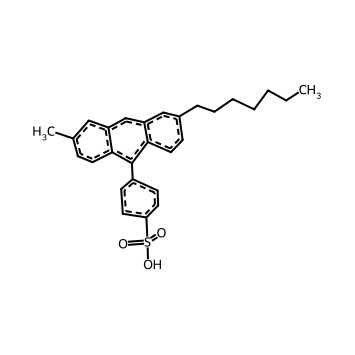 CCCCCCCc1ccc2c(-c3ccc(S(=O)(=O)O)cc3)c3ccc(C)cc3cc2c1